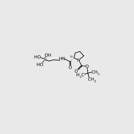 CC(C)(C)OC(=O)N1CCC[C@H]1C(=O)NCCC[Si](O)(O)O